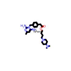 CCCCCNC1=CC(C)=NC(N)N1Cc1ccc(CC(=O)OCCCCN2CCC(N(C)C)CC2)cc1